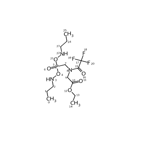 CCCNOP(=O)(CN(CC(=O)OCC)C(=O)C(F)(F)F)ONCCC